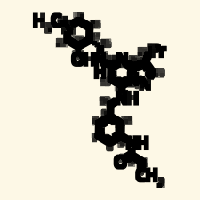 C=CC(=O)Nc1cccc(CNc2cc(NC[C@H]3CCN(C)C[C@@H]3O)nc3c(C(C)C)cnn23)c1